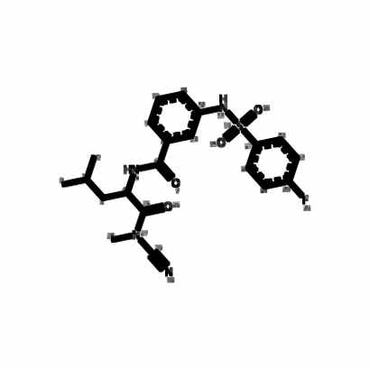 CC(C)CC(NC(=O)c1cccc(NS(=O)(=O)c2ccc(F)cc2)c1)C(=O)N(C)C#N